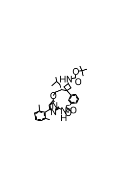 Cc1cccc(C)c1-c1cc2nc(n1)NS(=O)(=O)c1cccc(c1)C1(CC(NC(=O)OC(C)(C)C)C1)[C@H](CC(C)C)CO2